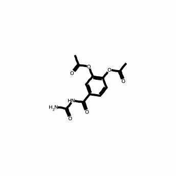 CC(=O)Oc1ccc(C(=O)NC(N)=O)cc1OC(C)=O